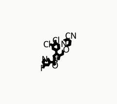 N#Cc1ccc(OCCC2CN(C(=O)c3cncc(F)c3)CC2c2ccc(Cl)c(Cl)c2)nc1